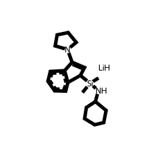 C[Si](C)(NC1CCCCC1)[C]1C=C(N2CCCC2)c2ccccc21.[LiH]